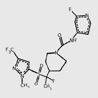 Cn1nc(C(F)(F)F)cc1S(=O)(=O)C(C)(F)C1CCN(C(=O)Nc2ccnc(F)c2)CC1